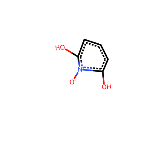 [O-][n+]1c(O)cccc1O